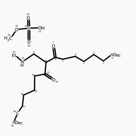 CCCCCCCCCCCCCCCC(=O)C(CNCC)C(=O)CCCCCCCCCCCCCCC.COS(=O)(=O)O